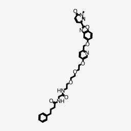 Cn1nc(-c2nc3cc(OCc4ccc(OCCOCCOCCNC(=O)CNC(=O)CCCc5ccccc5)cn4)ccc3o2)ccc1=O